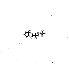 CCC(C)(CNS(C)(=O)=O)C(=O)OC1(C)CCCC1